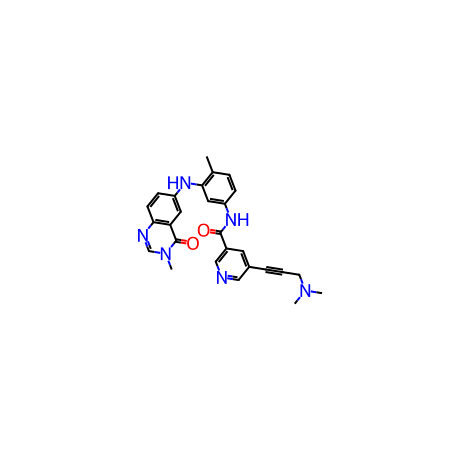 Cc1ccc(NC(=O)c2cncc(C#CCN(C)C)c2)cc1Nc1ccc2ncn(C)c(=O)c2c1